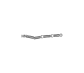 N=C=C=C=O